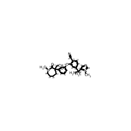 CCC1(c2cccc(Oc3cc(C(C)(N)c4cncn4C)ccc3C#N)c2)CCCCN(C)C1=O